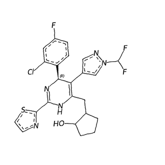 OC1CCCC1CC1=C(c2cnn(C(F)F)c2)[C@H](c2ccc(F)cc2Cl)N=C(c2nccs2)N1